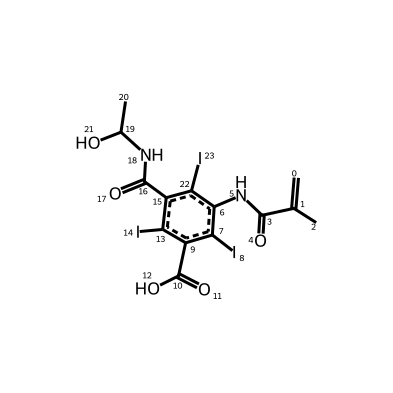 C=C(C)C(=O)Nc1c(I)c(C(=O)O)c(I)c(C(=O)NC(C)O)c1I